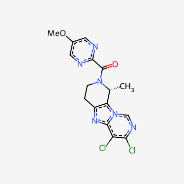 COc1cnc(C(=O)N2CCc3nc4c(Cl)c(Cl)ncn4c3[C@H]2C)nc1